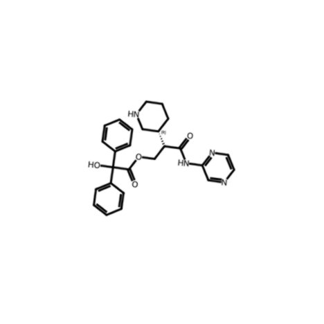 O=C(Nc1cnccn1)C(COC(=O)C(O)(c1ccccc1)c1ccccc1)[C@H]1CCCNC1